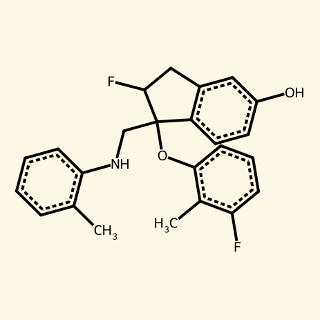 Cc1ccccc1NCC1(Oc2cccc(F)c2C)c2ccc(O)cc2CC1F